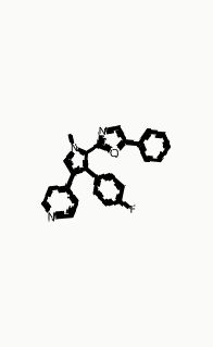 Cn1cc(-c2ccncc2)c(-c2ccc(F)cc2)c1-c1ncc(-c2ccccc2)o1